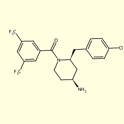 N[C@H]1CCN(C(=O)c2cc(C(F)(F)F)cc(C(F)(F)F)c2)[C@@H](Cc2ccc(Cl)cc2)C1